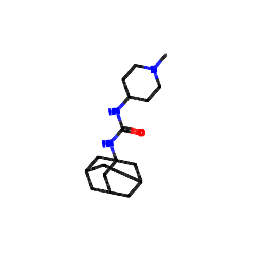 CN1CCC(NC(=O)NC23CC4CC(CC(C4)C2)C3)CC1